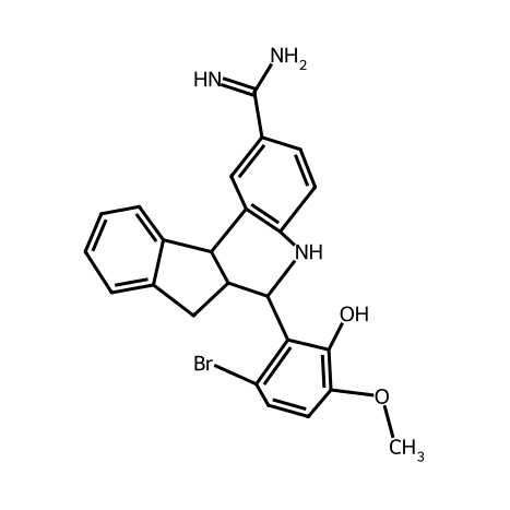 COc1ccc(Br)c(C2Nc3ccc(C(=N)N)cc3C3c4ccccc4CC23)c1O